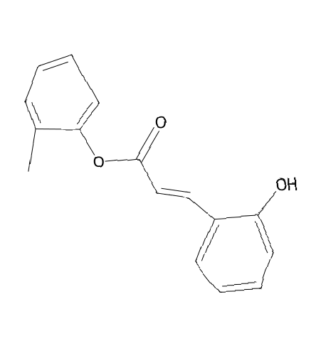 Cc1ccccc1OC(=O)/C=C/c1ccccc1O